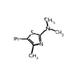 Cc1nc(N(C)C)sc1C(C)C